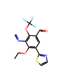 C=Nc1c(OC(F)(F)F)c(C=O)cc(-c2nccs2)c1OCC